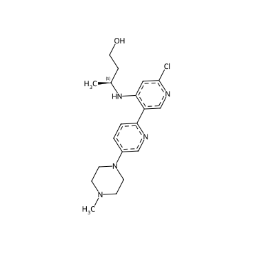 C[C@@H](CCO)Nc1cc(Cl)ncc1-c1ccc(N2CCN(C)CC2)cn1